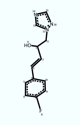 OC(C=Cc1ccc(F)cc1)Cn1cncn1